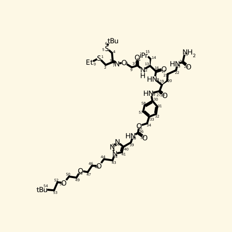 CCSC/C(CSC(C)(C)C)=N/OCC(=O)N[C@@H](CC(C)C)C(=O)N[C@@H](CCCNC(N)=O)C(=O)Nc1ccc(COC(=O)NCc2cn(CCOCCOCCOCCC(C)(C)C)nn2)cc1